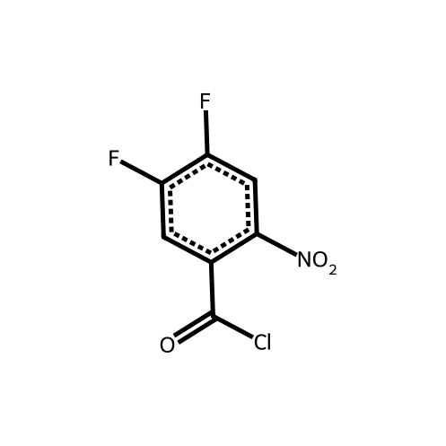 O=C(Cl)c1cc(F)c(F)cc1[N+](=O)[O-]